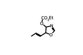 CC=CC1OC=NC1OC(=O)OCC